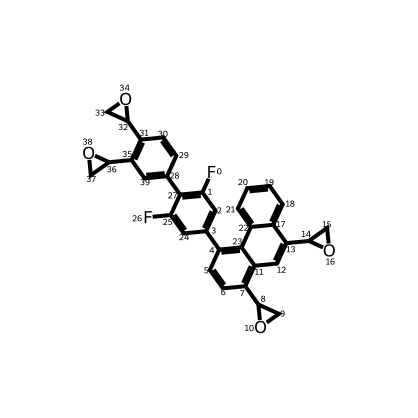 Fc1cc(-c2ccc(C3CO3)c3cc(C4CO4)c4ccccc4c23)cc(F)c1-c1ccc(C2CO2)c(C2CO2)c1